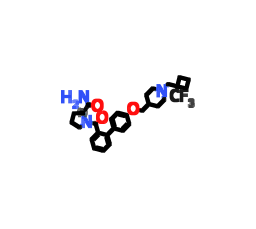 NC(=O)[C@@H]1CCCN1C(=O)c1ccccc1-c1ccc(OCC2CCN(CC3(C(F)(F)F)CCC3)CC2)cc1